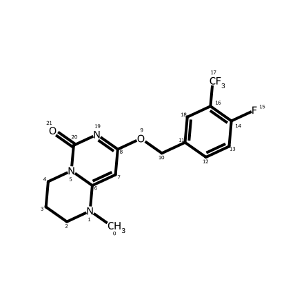 CN1CCCn2c1cc(OCc1ccc(F)c(C(F)(F)F)c1)nc2=O